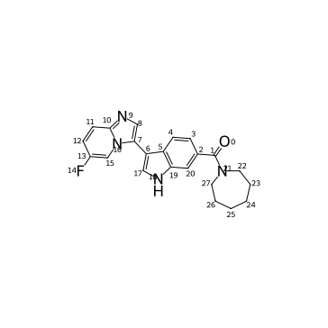 O=C(c1ccc2c(-c3cnc4ccc(F)cn34)c[nH]c2c1)N1CCCCCC1